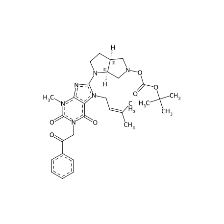 CC(C)=CCn1c(N2CC[C@H]3CN(OC(=O)OC(C)(C)C)C[C@H]32)nc2c1c(=O)n(CC(=O)c1ccccc1)c(=O)n2C